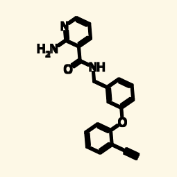 C#Cc1ccccc1Oc1cccc(CNC(=O)c2cccnc2N)c1